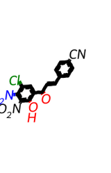 N#Cc1ccc(C=CC(=O)c2cc(Cl)c(N)c([N+](=O)[O-])c2O)cc1